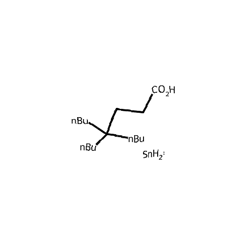 CCCCC(CCCC)(CCCC)CCC(=O)O.[SnH2]